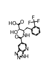 O=C(N[C@H](Cc1ccccc1C(F)(F)F)[C@@H](O)C(=O)O)c1cnc2[nH]nnc2c1